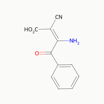 N#CC(C(=O)O)=C(N)C(=O)c1ccccc1